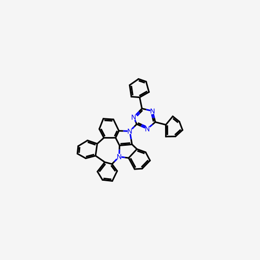 c1ccc(-c2nc(-c3ccccc3)nc(-n3c4cccc5c6ccccc6c6ccccc6n6c7ccccc7c3c6c54)n2)cc1